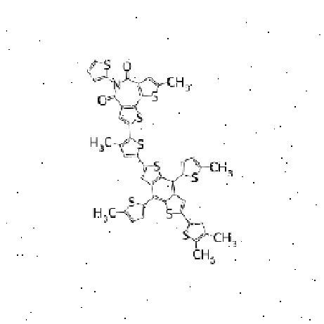 Cc1ccc(-c2c3cc(-c4cc(C)c(-c5cc6c(=O)n(-c7cccs7)c(=O)c7cc(C)sc7c6s5)s4)sc3c(-c3ccc(C)s3)c3cc(-c4cc(C)c(C)s4)sc23)s1